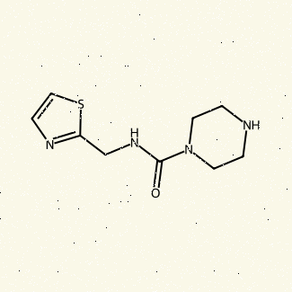 O=C(NCc1nccs1)N1CCNCC1